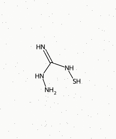 N=C(NN)NS